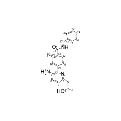 CC(O)Cc1cnc(N)c(-c2ccc(C(=O)NCc3ccccc3)c(F)c2)n1